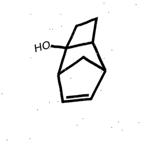 OC12CCC1C1C=CC2C1